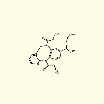 COCC(OC)c1ccc2c(c1)N(C(=O)OC(C)(C)C)Cc1cccnc1N2C(=O)OC(C)(C)C